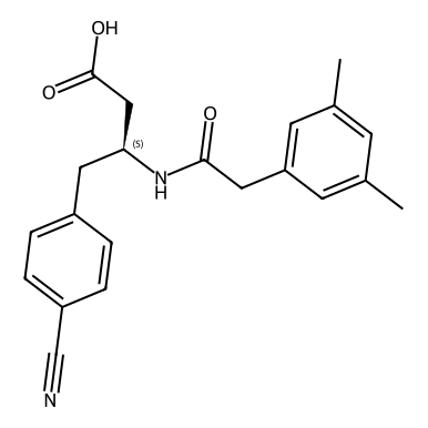 Cc1cc(C)cc(CC(=O)N[C@H](CC(=O)O)Cc2ccc(C#N)cc2)c1